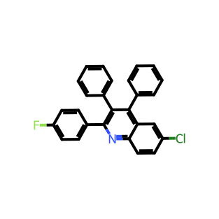 Fc1ccc(-c2nc3ccc(Cl)cc3c(-c3ccccc3)c2-c2ccccc2)cc1